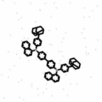 c1ccc2c(N(c3ccc(-c4ccc(N(c5ccc(C67CC8CC(CC(C8)C6)C7)cc5)c5cccc6ccccc56)cc4)cc3)c3ccc(C45CC6CC(CC(C6)C4)C5)cc3)cccc2c1